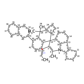 C/C=C\C1=C(C)n2c3ccccc3c3cccc(c32)C12c1ccccc1C(C)(C)c1c(-c3ccc4ccccc4c3)cccc12